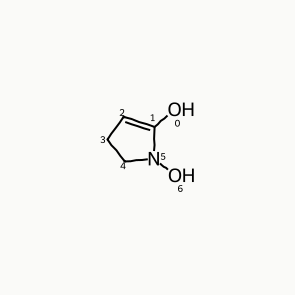 OC1=CCCN1O